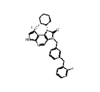 C[C@@H]1CCCC[C@@H]1n1c(=O)n(Cc2cccc(Cc3ccccc3F)c2)c2cnc3[nH]ccc3c21